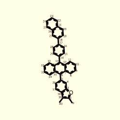 Cc1oc2cc(-c3c4ccccc4c(-c4ccc(-c5ccc6ccccc6c5)cc4)c4ccccc34)ccc2c1C